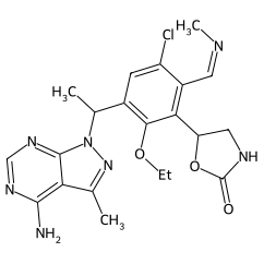 CCOc1c(C(C)n2nc(C)c3c(N)ncnc32)cc(Cl)c(/C=N\C)c1C1CNC(=O)O1